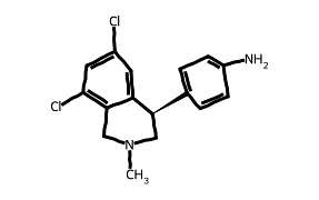 CN1Cc2c(Cl)cc(Cl)cc2[C@@H](c2ccc(N)cc2)C1